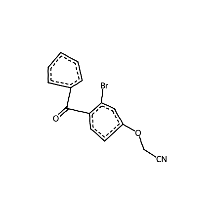 N#CCOc1ccc(C(=O)c2ccccc2)c(Br)c1